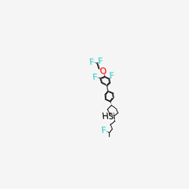 CC(F)CCC[Si@H]1CC[C@H](c2ccc(-c3cc(F)c(OC=C(F)F)c(F)c3)cc2)CC1